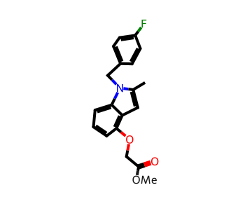 COC(=O)COc1cccc2c1cc(C)n2Cc1ccc(F)cc1